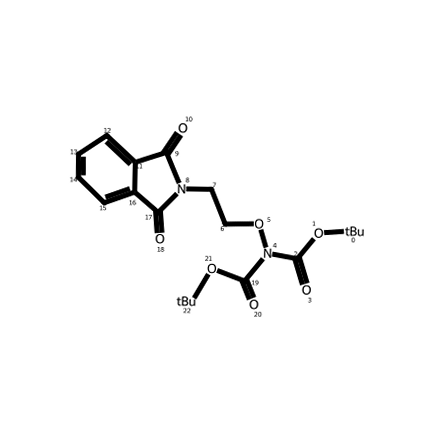 CC(C)(C)OC(=O)N(OCCN1C(=O)c2ccccc2C1=O)C(=O)OC(C)(C)C